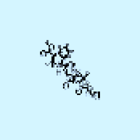 COC(=O)C=C(C)NC(C(=O)N[C@@H]1C(=O)N2[C@@H]1SC(C)(C)[C@@H]2C(=O)OCCl)c1ccccc1